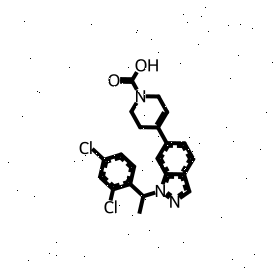 CC(c1ccc(Cl)cc1Cl)n1ncc2ccc(C3=CCN(C(=O)O)CC3)cc21